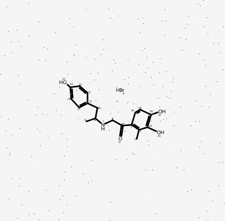 Br.Cc1c(C(=O)CNC(C)Cc2ccc(O)cc2)ccc(O)c1O